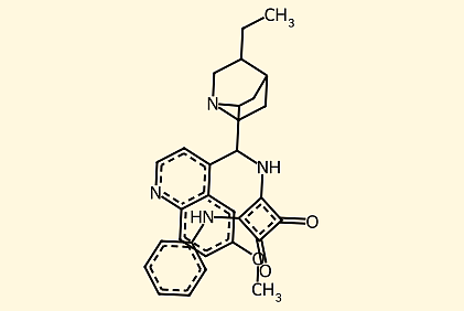 CCC1CN2CCC1CC2C(Nc1c(Nc2ccccc2)c(=O)c1=O)c1ccnc2ccc(OC)cc12